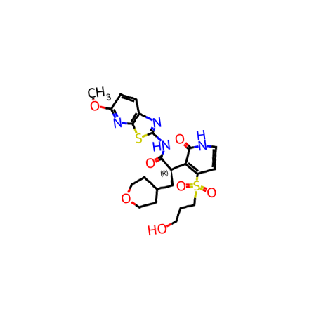 COc1ccc2nc(NC(=O)[C@H](CC3CCOCC3)c3c(S(=O)(=O)CCCO)cc[nH]c3=O)sc2n1